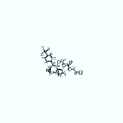 Cc1cc(/C(OC(C)OC(=O)OCCCl)=C(/c2ccc(C(C)(C)C)cc2)C2C=N2)n(C)n1